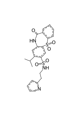 CC(C)c1cc2c(cc1S(=O)(=O)NCCc1ccccn1)S(=O)(=O)c1ccccc1C(=O)N2